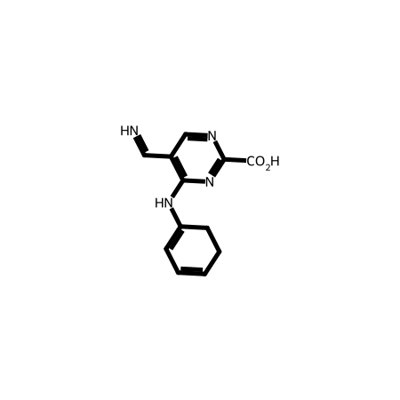 N=Cc1cnc(C(=O)O)nc1NC1=CC=CCC1